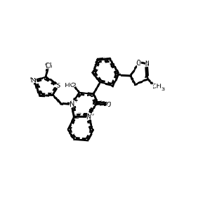 CC1=NOC(c2cccc(-c3c(O)n(Cc4cnc(Cl)s4)c4cccc[n+]4c3=O)c2)C1